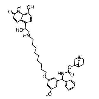 COc1cc(OCCCCCCCCCNCC(O)c2ccc(O)c3[nH]c(=O)ccc23)cc(C(NC(=O)OC2CN3CCC2CC3)c2ccccc2)c1